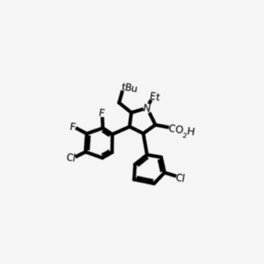 CCN1C(CC(C)(C)C)C(c2ccc(Cl)c(F)c2F)C(c2cccc(Cl)c2)C1C(=O)O